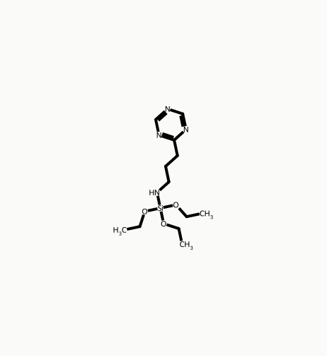 CCO[Si](NCCCc1ncncn1)(OCC)OCC